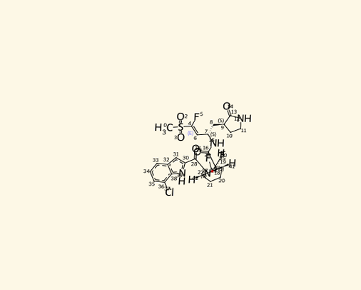 CS(=O)(=O)/C(F)=C/[C@H](C[C@@H]1CCNC1=O)NC(=O)[C@H]1[C@@H]2CC[C@@H](CC2(F)F)N1C(=O)c1cc2cccc(Cl)c2[nH]1